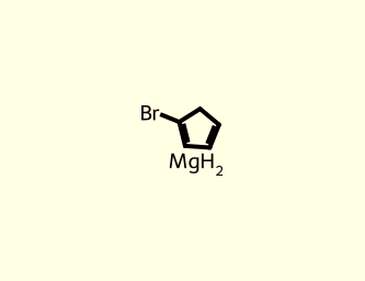 BrC1=CC=CC1.[MgH2]